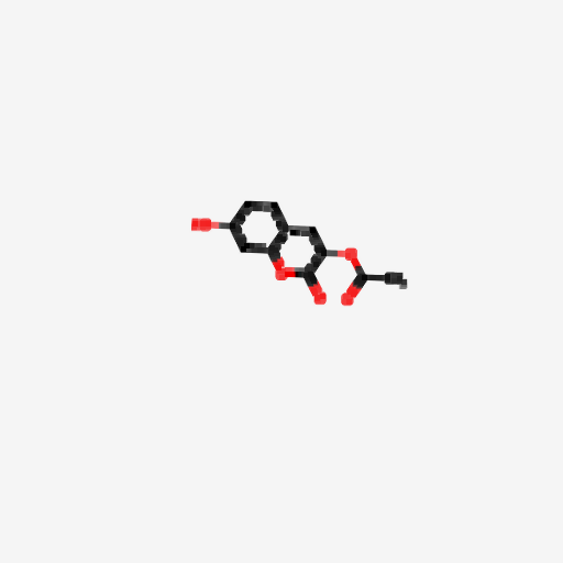 CC(=O)Oc1cc2ccc(O)cc2oc1=O